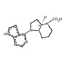 O=C(O)N1CCCC2[C@H]1CCN2c1ncnc2[nH]ccc12